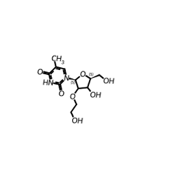 Cc1cn([C@H]2O[C@@H](CO)C(O)C2OCCO)c(=O)[nH]c1=O